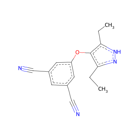 CCc1n[nH]c(CC)c1Oc1cc(C#N)cc(C#N)c1